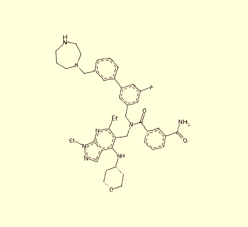 CCc1nc2c(cnn2CC)c(NC2CCOCC2)c1CN(Cc1cc(F)cc(-c2cccc(CN3CCCNCC3)c2)c1)C(=O)c1cccc(C(N)=O)c1